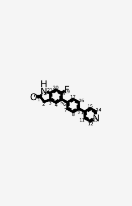 O=C1Cc2cc(-c3ccc(-c4ccncc4)cc3)c(F)cc2N1